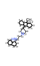 C=c1c2ccccc2c(=C2CCN(CCCNc3cccc4ccccc34)CC2)c2ccccc12